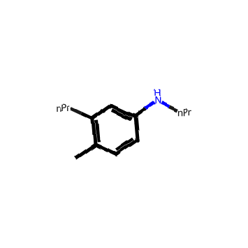 CCCNc1ccc(C)c(CCC)c1